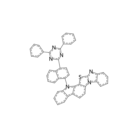 c1ccc(-c2nc(-c3ccccc3)nc(-c3ccc(-n4c5ccccc5c5ccc6c(sc7nc8ccccc8n76)c54)c4ccccc34)n2)cc1